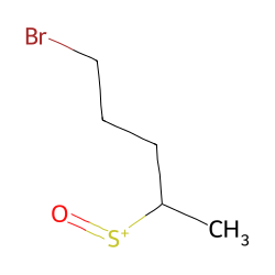 CC(CCCBr)[S+]=O